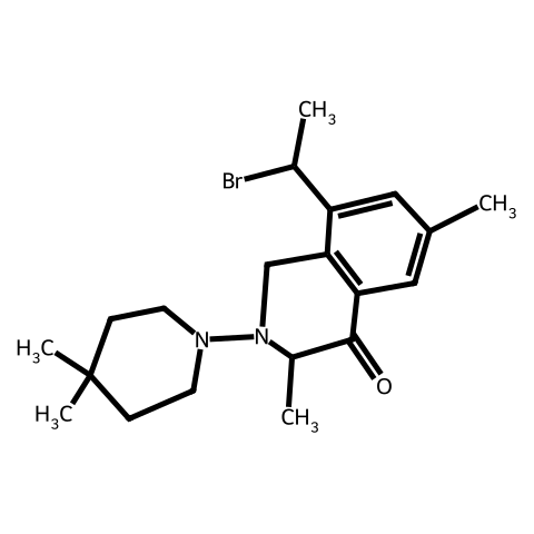 Cc1cc2c(c(C(C)Br)c1)CN(N1CCC(C)(C)CC1)C(C)C2=O